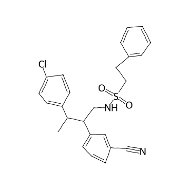 CC(c1ccc(Cl)cc1)C(CNS(=O)(=O)CCc1ccccc1)c1cccc(C#N)c1